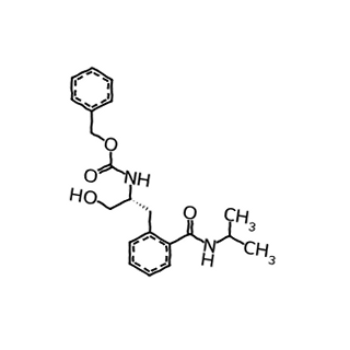 CC(C)NC(=O)c1ccccc1C[C@H](CO)NC(=O)OCc1ccccc1